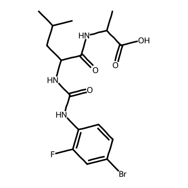 CC(C)CC(NC(=O)Nc1ccc(Br)cc1F)C(=O)NC(C)C(=O)O